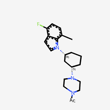 CC(=O)N1CCN([C@H]2CCC[C@@H](n3ccc4c(F)ccc(C)c43)C2)CC1